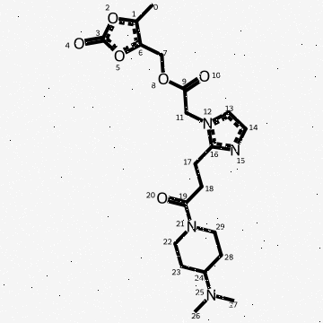 Cc1oc(=O)oc1COC(=O)Cn1ccnc1CCC(=O)N1CCC(N(C)C)CC1